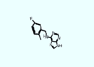 Cc1ccc(F)cc1CNc1ncnc2[nH]cnc12